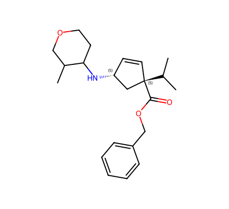 CC1COCCC1N[C@@H]1C=C[C@@](C(=O)OCc2ccccc2)(C(C)C)C1